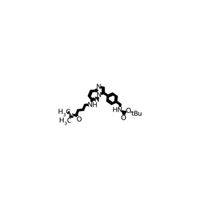 CN(C)C(=O)CCCNc1ccc2ncc(-c3ccc(CNC(=O)OC(C)(C)C)cc3)n2n1